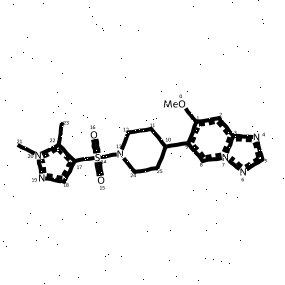 COc1cc2ncnn2cc1C1CCN(S(=O)(=O)c2cnn(C)c2C)CC1